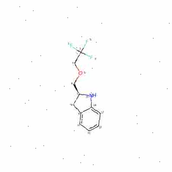 FC(F)(F)COC[C@@H]1Cc2ccccc2N1